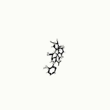 CC(C)c1c2c(nn1-c1ccccc1O)C(=O)N(c1cc(Cl)c(=O)n(C)c1)C21C(=O)Nc2cc(Cl)ccc21